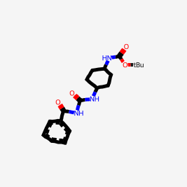 CC(C)(C)OC(=O)NC1CCC(NC(=O)NC(=O)c2ccccc2)CC1